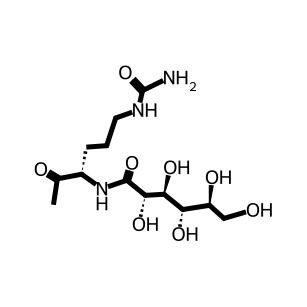 CC(=O)[C@H](CCCNC(N)=O)NC(=O)[C@@H](O)[C@@H](O)[C@@H](O)[C@@H](O)CO